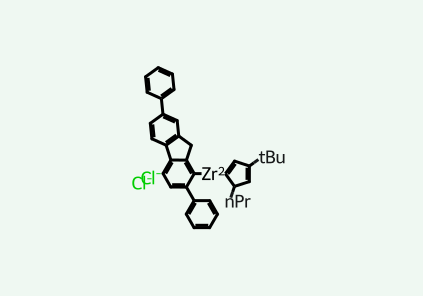 CCCC1C=C(C(C)(C)C)C=[C]1[Zr+2][c]1c(-c2ccccc2)ccc2c1Cc1cc(-c3ccccc3)ccc1-2.[Cl-].[Cl-]